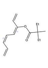 C=C/C=C\C=C(/C=C)OC(=O)C(C)(CC)CC